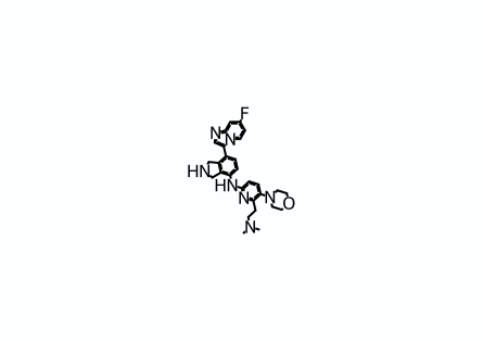 CN(C)CCc1nc(Nc2ccc(-c3cnc4cc(F)ccn34)c3c2CNC3)ccc1N1CCOCC1